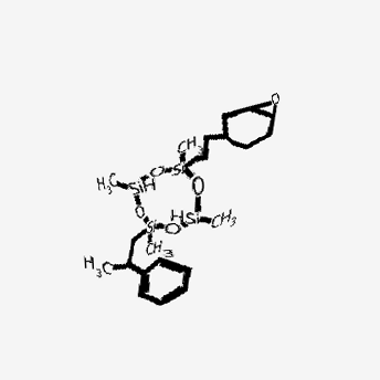 CC(C[Si]1(C)O[SiH](C)O[Si](C)(CCC2CCC3OC3C2)O[SiH](C)O1)c1ccccc1